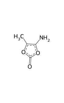 Cc1oc(=O)oc1N